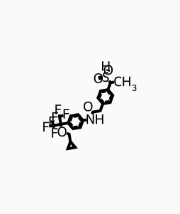 CC(c1ccc(CC(=O)Nc2ccc(C(OCC3CC3)(C(F)(F)F)C(F)(F)F)cc2)cc1)[SH](=O)=O